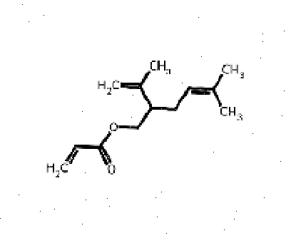 C=CC(=O)OCC(CC=C(C)C)C(=C)C